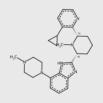 CN1CCN(c2cccc3nc([C@H]4CCC[C@@H](c5ncccc5C5CC5)N4C)[nH]c23)CC1